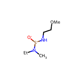 CCN(C)[S+]([O-])NCCOC